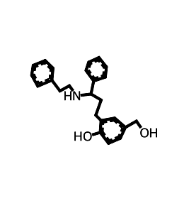 OCc1ccc(O)c(CCC(NCCc2ccccc2)c2ccccc2)c1